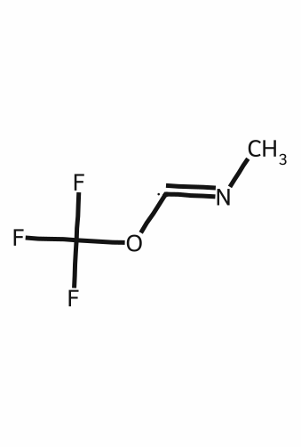 C/N=[C]/OC(F)(F)F